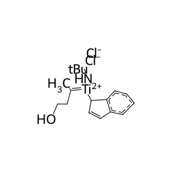 C/[C](CCO)=[Ti+2](\[NH]C(C)(C)C)[CH]1C=Cc2ccccc21.[Cl-].[Cl-]